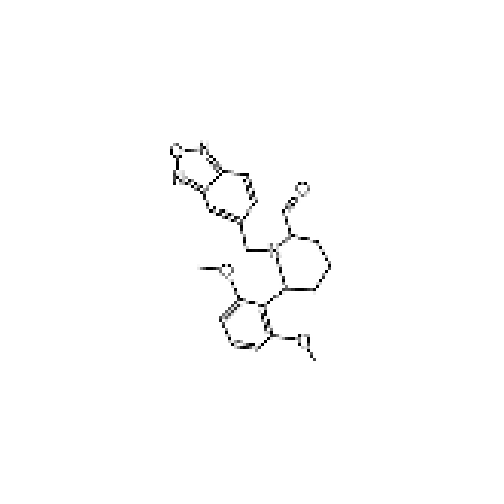 COc1cccc(OC)c1C1CCCC(C=O)N1Cc1ccc2nonc2c1